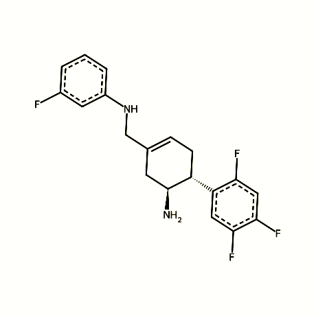 N[C@H]1CC(CNc2cccc(F)c2)=CC[C@@H]1c1cc(F)c(F)cc1F